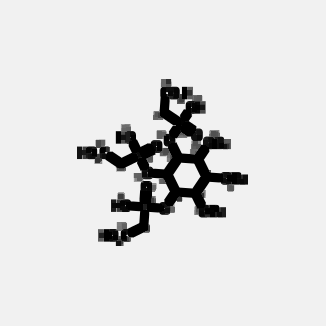 CC(C)COC1C(OCC(C)C)C(OP(=O)(O)CC(=O)O)C(OP(=O)(O)CC(=O)O)C(OP(=O)(O)CC(=O)O)C1OCC(C)C